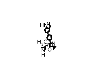 Cc1cc(-c2ccc3[nH]ncc3c2)ccc1C1=NC2(CC2)C(=O)N1CC1CNC1